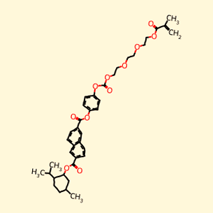 C=C(C)C(=O)OCCOCCOCCOC(=O)Oc1ccc(OC(=O)c2ccc3cc(C(=O)OC4CC(C)CCC4C(C)C)ccc3c2)cc1